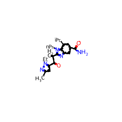 C=C(C(=O)c1cc(C)nn1CC)c1nc2cc(C(N)=O)cc(C(C)C)c2n1CCC